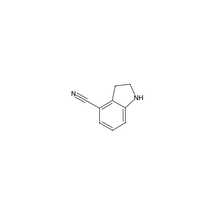 N#Cc1cccc2c1CCN2